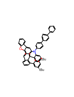 CC(C)(C)c1cc(-c2cccc3cccc(-c4ccccc4N(c4ccc(-c5ccc(-c6ccccc6)cc5)cc4)c4ccc5oc6ccccc6c5c4)c23)cc(C(C)(C)C)c1